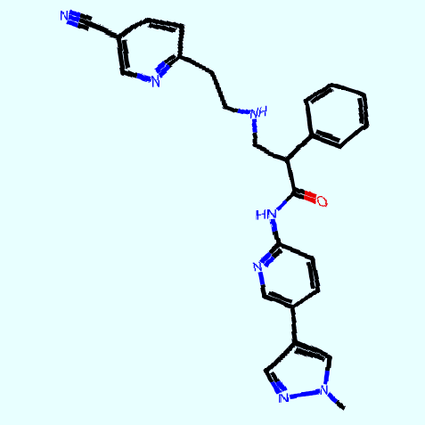 Cn1cc(-c2ccc(NC(=O)C(CNCCc3ccc(C#N)cn3)c3ccccc3)nc2)cn1